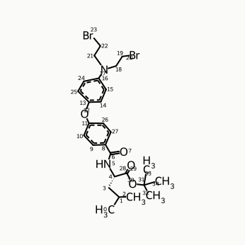 CC(C)C[C@H](NC(=O)c1ccc(Oc2ccc(N(CCBr)CCBr)cc2)cc1)C(=O)OC(C)(C)C